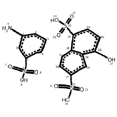 Nc1cccc(S(=O)(=O)O)c1.O=S(=O)(O)c1ccc2c(S(=O)(=O)O)ccc(O)c2c1